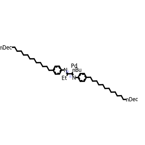 CCCCCCCCCCCCCCCCCCCCCCc1ccc(/N=C(CC)/C(CCCC)=N/c2ccc(CCCCCCCCCCCCCCCCCCCCCC)cc2)cc1.[Pd]